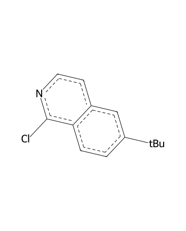 CC(C)(C)c1ccc2c(Cl)nccc2c1